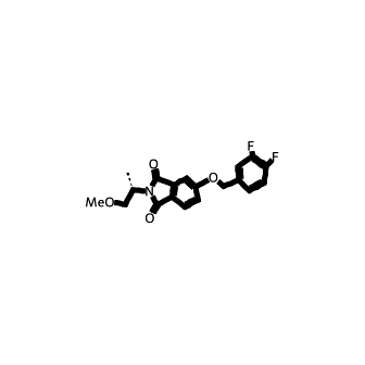 COC[C@H](C)N1C(=O)c2ccc(OCc3ccc(F)c(F)c3)cc2C1=O